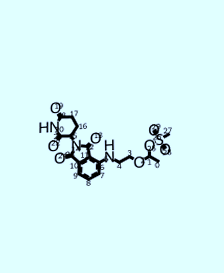 CC(OCCNc1cccc2c1C(=O)N(C1CCC(=O)NC1=O)C2=O)OS(C)(=O)=O